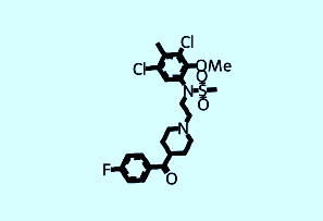 COc1c(N(CCN2CCC(C(=O)c3ccc(F)cc3)CC2)S(C)(=O)=O)cc(Cl)c(C)c1Cl